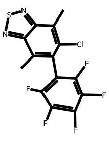 Cc1c(Cl)c(-c2c(F)c(F)c(F)c(F)c2F)c(C)c2nsnc12